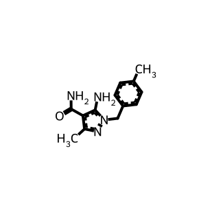 Cc1ccc(Cn2nc(C)c(C(N)=O)c2N)cc1